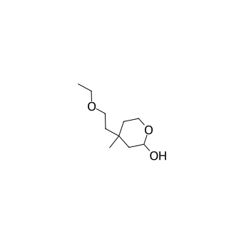 CCOCCC1(C)CCOC(O)C1